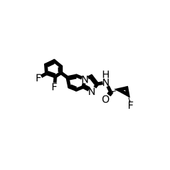 O=C(Nc1cn2cc(-c3cccc(F)c3F)ccc2n1)[C@@H]1C[C@@H]1F